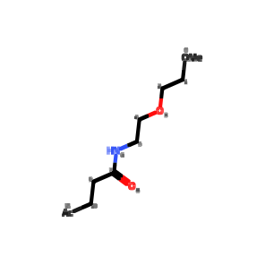 COCCOCCNC(=O)CCC(C)=O